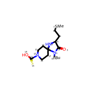 CCCCN1C(=O)C(CCSC)NC12CCN(C(O)=S)CC2